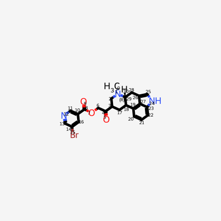 CN1CC(C(=O)COC(=O)c2cncc(Br)c2)CC2c3cccc4[nH]cc(c34)C[C@H]21